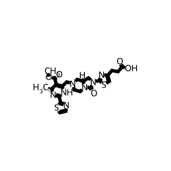 COC(=O)C1=C(CN2CCN3C(=O)N(c4nc(CCC(=O)O)cs4)C[C@@H]3C2)NC(c2nccs2)=N[C@H]1C